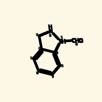 O=C[SH]1NCc2ccccc21